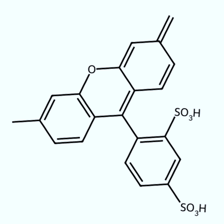 C=c1ccc2c(c1)Oc1cc(C)ccc1C=2c1ccc(S(=O)(=O)O)cc1S(=O)(=O)O